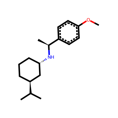 COc1ccc([C@H](C)N[C@H]2CCC[C@H](C(C)C)C2)cc1